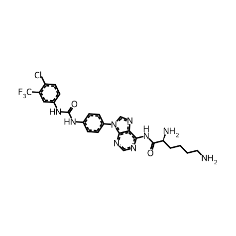 NCCCC[C@H](N)C(=O)Nc1ncnc2c1ncn2-c1ccc(NC(=O)Nc2ccc(Cl)c(C(F)(F)F)c2)cc1